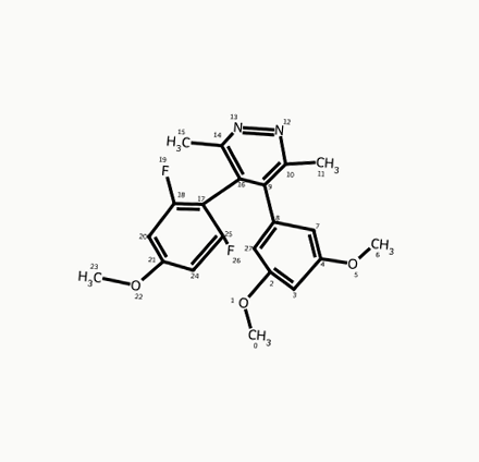 COc1cc(OC)cc(-c2c(C)nnc(C)c2-c2c(F)cc(OC)cc2F)c1